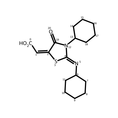 O=C(O)C=C1SC(=NC2CCCCC2)N(C2CCCCC2)C1=O